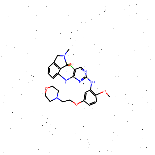 COc1ccc(OCCN2CCOCC2)cc1Nc1ncc(Cl)c(Nc2cccc3c2C(=O)N(C)C3)n1